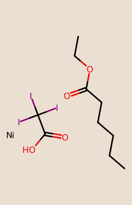 CCCCCC(=O)OCC.O=C(O)C(I)(I)I.[Ni]